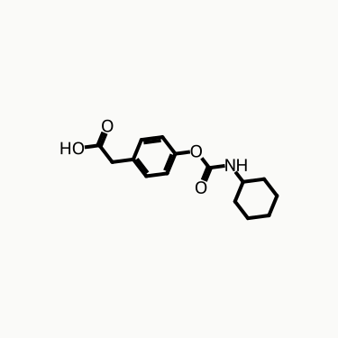 O=C(O)Cc1ccc(OC(=O)NC2CCCCC2)cc1